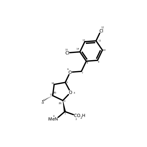 CNC(C(=O)O)[C@@H]1OC(OCc2ccc(Cl)cc2Cl)C[C@H]1C